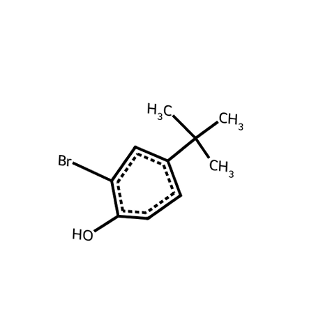 CC(C)(C)c1ccc(O)c(Br)c1